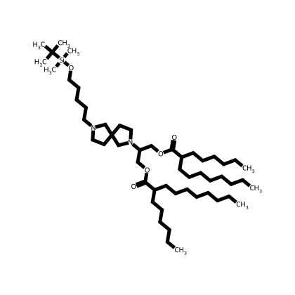 CCCCCCCCC(CCCCCC)C(=O)OCC(COC(=O)C(CCCCCC)CCCCCCCC)N1CCC2(CCN(CCCCCO[Si](C)(C)C(C)(C)C)C2)C1